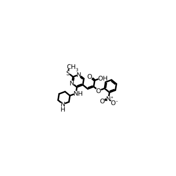 CSc1ncc(/C=C(/Oc2ccccc2[N+](=O)[O-])C(=O)O)c(NC2CCCNC2)n1